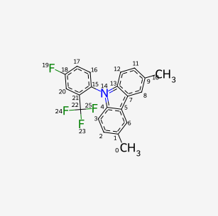 Cc1ccc2c(c1)c1cc(C)ccc1n2-c1ccc(F)cc1C(F)(F)F